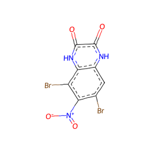 O=c1[nH]c2cc(Br)c([N+](=O)[O-])c(Br)c2[nH]c1=O